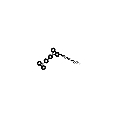 COCCOCCOCCCc1ccc2c(c1)c1ccccc1n2-c1ccc(-c2ccc(-n3c4ccccc4c4ccccc43)cc2)cc1